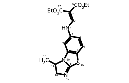 CCOC(=O)C(=CNc1ccc2c(c1)N1C(=NCC1C)S2)C(=O)OCC